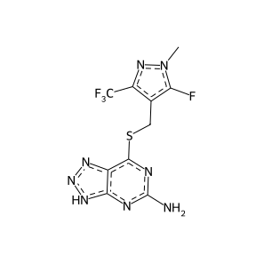 Cn1nc(C(F)(F)F)c(CSc2nc(N)nc3[nH]nnc23)c1F